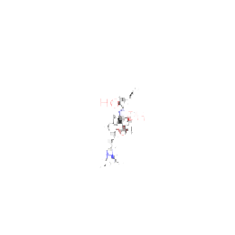 CC#CC[C@H](C)[C@H](O)/C=C/[C@@H]1[C@H]2c3cccc(CCCCN(CCC)CCC)c3O[C@H]2C[C@H]1O